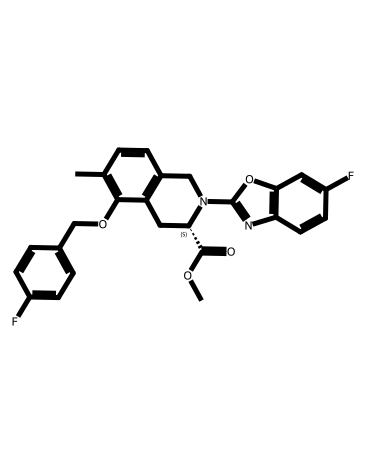 COC(=O)[C@@H]1Cc2c(ccc(C)c2OCc2ccc(F)cc2)CN1c1nc2ccc(F)cc2o1